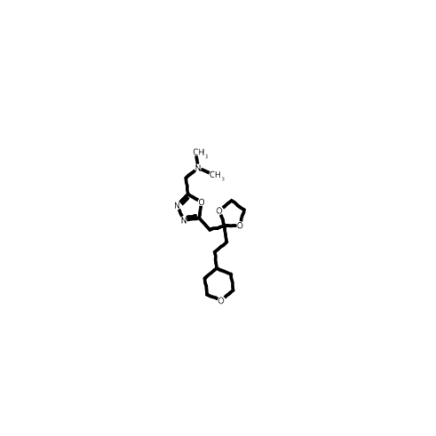 CN(C)Cc1nnc(CC2(CCC3CCOCC3)OCCO2)o1